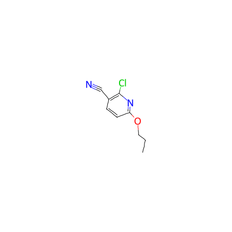 CCCOc1ccc(C#N)c(Cl)n1